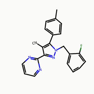 [C-]#[N+]c1c(-c2ncccn2)nn(Cc2ccccc2F)c1-c1ccc(C)cc1